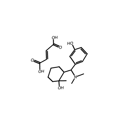 CN(C)C(c1cccc(O)c1)C1CCCCC1(C)O.O=C(O)C=CC(=O)O